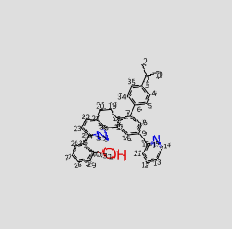 CC(C)c1ccc(-c2cc(-c3ccccn3)cc3c2CCc2ccc(-c4ccccc4O)nc2-3)cc1